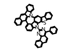 c1ccc(-c2nc(-n3c4cccc5c4c4c3c3sc6ccccc6c3cc4n3c4ccccc4c4cc6ccccc6c5c43)nc3c2ccc2ccccc23)cc1